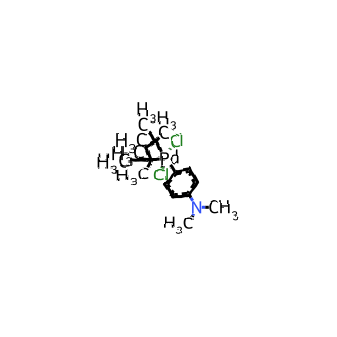 CN(C)c1cc[c]([Pd]([Cl])([Cl])([C](C)(C)C)[C](C)(C)C)cc1